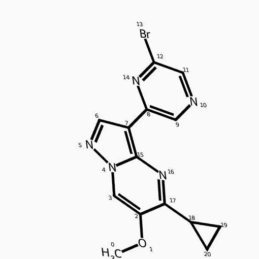 COc1cn2ncc(-c3cncc(Br)n3)c2nc1C1CC1